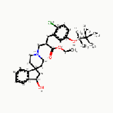 CCOC(=O)C(Cc1cc(O[Si](C)(C)C(C)(C)C)ccc1Cl)CN1CCC2(CC1)CC(O)c1ccccc12